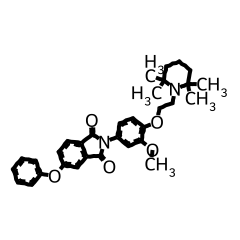 COc1cc(N2C(=O)c3ccc(Oc4ccccc4)cc3C2=O)ccc1OCCN1C(C)(C)CCCC1(C)C